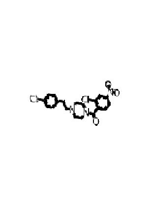 O=C(c1ccc([N+](=O)[O-])cc1Cl)N1CCN(CCc2ccc(Cl)cc2)CC1